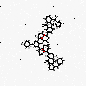 O=c1c2ccccc2n2c3ccc(-c4ccc5c(c4)Oc4cc(-c6ccc7c(c6)c(=O)c6cccc8c(=O)c9ccccc9n7c86)ccc4B5c4c(-c5ccccc5)cc(-c5ccccc5)cc4-c4ccccc4)cc3c(=O)c3cccc1c32